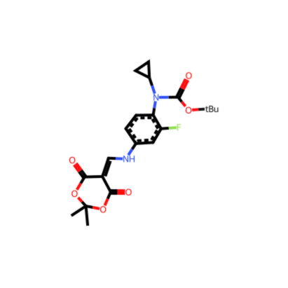 CC(C)(C)OC(=O)N(c1ccc(NC=C2C(=O)OC(C)(C)OC2=O)cc1F)C1CC1